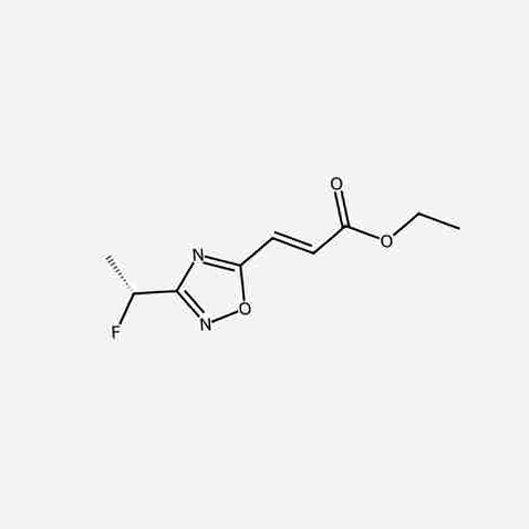 CCOC(=O)/C=C/c1nc([C@@H](C)F)no1